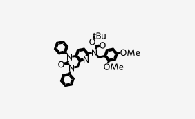 COc1ccc(CN(C(=O)OC(C)(C)C)c2ccc3c(n2)CN(c2ccccc2)C(=O)N3c2ccccc2)c(OC)c1